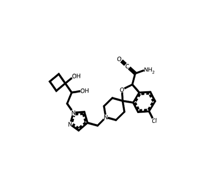 NC(=C=O)C1OC2(CCN(Cc3cnn(CC(O)C4(O)CCC4)c3)CC2)c2cc(Cl)ccc21